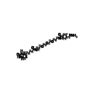 N/N=C/c1ccc(C(=O)NCCCOCCOCCOCCCNC(=O)CCCCC2SC[C@@H]3NC(=O)N[C@H]23)cc1